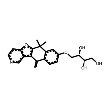 CC1(C)c2cc(OC[C@@H](O)[C@H](O)CO)ccc2C(=O)c2c1oc1ccncc21